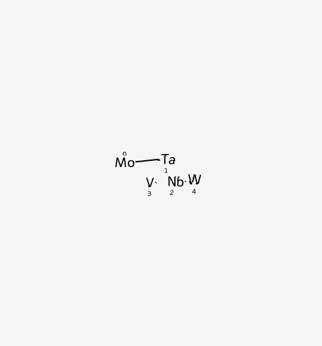 [Mo][Ta].[Nb].[V].[W]